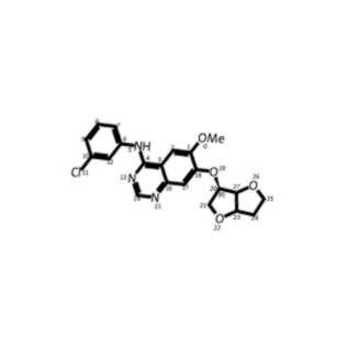 COc1cc2c(Nc3cccc(Cl)c3)ncnc2cc1O[C@@H]1COC2CCOC21